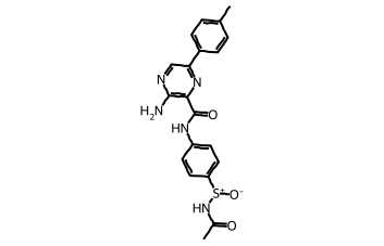 CC(=O)N[S+]([O-])c1ccc(NC(=O)c2nc(-c3ccc(C)cc3)cnc2N)cc1